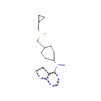 CN(c1ncnc2[nH]ccc12)C1CCC(C[S+]([O-])CC2CC2)CC1